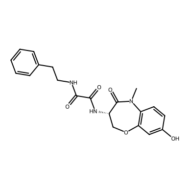 CN1C(=O)[C@@H](NC(=O)C(=O)NCCc2ccccc2)COc2cc(O)ccc21